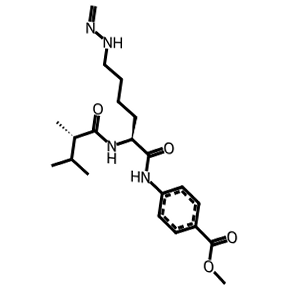 C=NNCCCC[C@H](NC(=O)[C@@H](C)C(C)C)C(=O)Nc1ccc(C(=O)OC)cc1